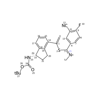 C=C(S/C(=N\C)c1ccc(F)c(C#N)c1)c1cccc2c1CC[C@@H]2NC(=O)OC(C)(C)C